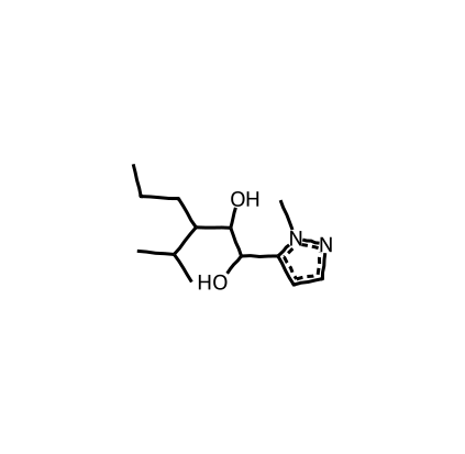 CCCC(C(C)C)C(O)C(O)c1ccnn1C